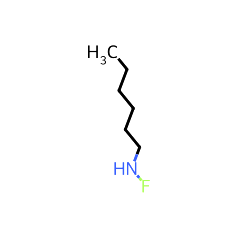 CCCCCCNF